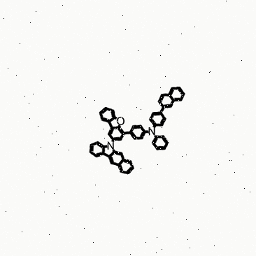 c1ccc(N(c2ccc(-c3ccc4ccccc4c3)cc2)c2ccc(-c3cc(-n4c5ccccc5c5cc6ccccc6cc54)cc4c3oc3ccccc34)cc2)cc1